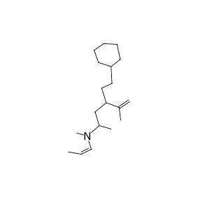 C=C(C)C(CCC1CCCCC1)CC(C)N(C)/C=C\C